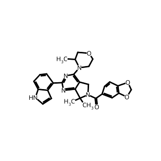 CC1COCCN1c1nc(-c2cccc3[nH]ccc23)nc2c1CN(C(=O)c1ccc3c(c1)OCO3)C2(C)C